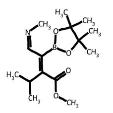 C/N=C\C(B1OC(C)(C)C(C)(C)O1)=C(\C(=O)OC)C(C)C